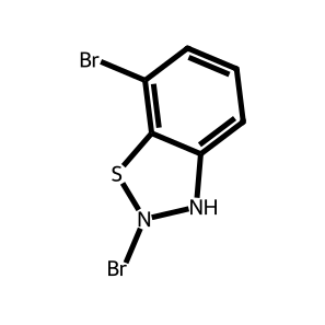 Brc1cccc2c1SN(Br)N2